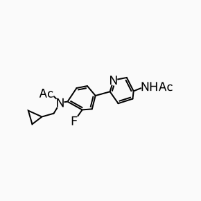 CC(=O)Nc1ccc(-c2ccc(N(CC3CC3)C(C)=O)c(F)c2)nc1